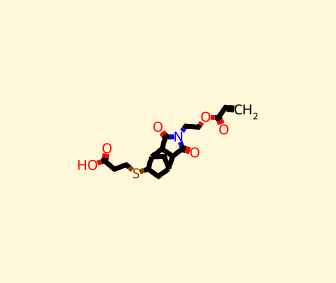 C=CC(=O)OCCN1C(=O)C2C3CC(SCCC(=O)O)C(C3)C2C1=O